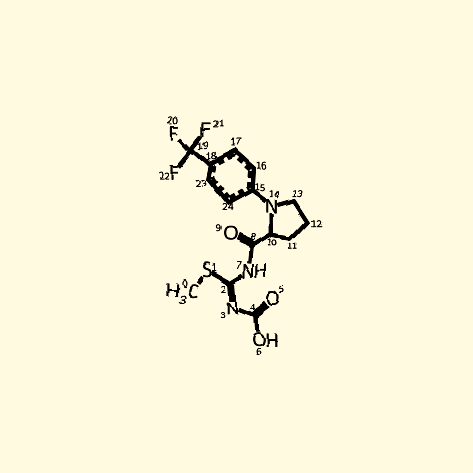 CS/C(=N/C(=O)O)NC(=O)C1CCCN1c1ccc(C(F)(F)F)cc1